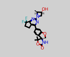 C[C@H]1[C@H](O)CN1c1nc(-c2ccc3c(c2)OC[C@@]32NC(=O)OC2(C)C)c2c(n1)C(F)(F)CC2